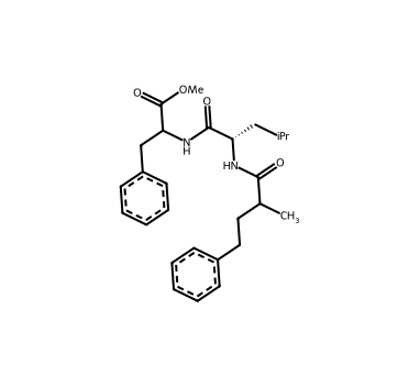 COC(=O)C(Cc1ccccc1)NC(=O)[C@H](CC(C)C)NC(=O)C(C)CCc1ccccc1